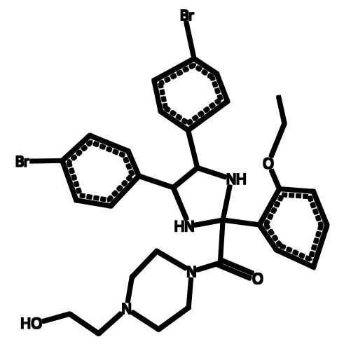 CCOc1ccccc1C1(C(=O)N2CCN(CCO)CC2)NC(c2ccc(Br)cc2)C(c2ccc(Br)cc2)N1